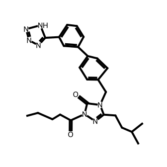 CCCCC(=O)n1nc(CCC(C)C)n(Cc2ccc(-c3cccc(-c4nnn[nH]4)c3)cc2)c1=O